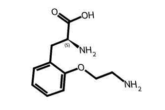 NCCOc1ccccc1C[C@H](N)C(=O)O